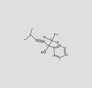 CC(C)C#CC(O)(c1ccccc1)C(F)(F)F